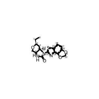 CC[C@H]1C[C@@H]2[C@H](CO1)NC(=O)N2c1nc2c3c(ccc2s1)OCO3